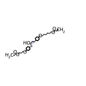 C=CC(=O)OCCCCCCOc1ccc(/C=C/C(O)Sc2ccc(OCCCOC(=O)C=C)cc2)cc1